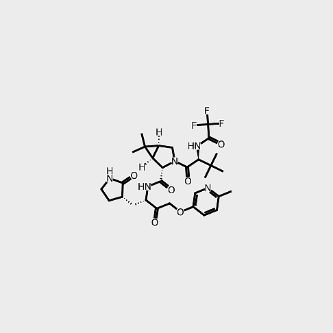 Cc1ccc(OCC(=O)[C@H](C[C@@H]2CCNC2=O)NC(=O)[C@@H]2[C@@H]3[C@H](CN2C(=O)[C@@H](NC(=O)C(F)(F)F)C(C)(C)C)C3(C)C)cn1